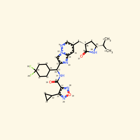 CC(C)[C@H]1C[C@@H](Cc2cnn3cc([C@@H](NC(=O)c4nonc4C4CC4)C4CCC(F)(F)CC4)nc3c2)C(=O)N1